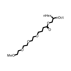 CCCCCCCCC(CCCCCC)COC(=O)CCCOCCOCCOCCOC